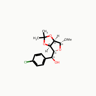 CO[C@@H]1O[C@H]([C@@H](O)c2ccc(Cl)cc2)[C@H]2OC(C)(C)O[C@@H]12